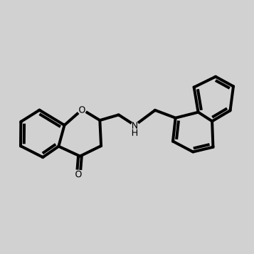 O=C1CC(CNCc2cccc3ccccc23)Oc2ccccc21